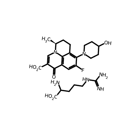 C[C@H]1CCc2c(N3CCC(O)CC3)c(F)cc3c(=O)c(C(=O)O)cn1c23.N=C(N)NCCCC(N)C(=O)O